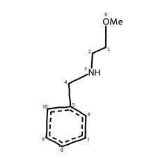 COCCNCc1cc[c]cc1